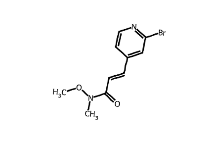 CON(C)C(=O)/C=C/c1ccnc(Br)c1